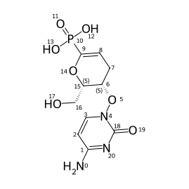 Nc1ccn(O[C@H]2CC=C(P(=O)(O)O)O[C@H]2CO)c(=O)n1